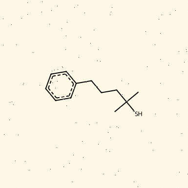 CC(C)(S)CCCc1ccccc1